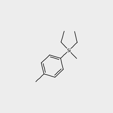 CC[Si](C)(CC)c1ccc(C)cc1